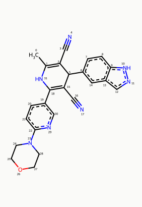 CC1=C(C#N)C(c2ccc3[nH]ncc3c2)C(C#N)=C(c2ccc(N3CCOCC3)nc2)N1